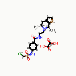 C[C@@H]1Cc2ccsc2[C@H](C)N1CCNC(=O)c1ccc(NS(=O)(=O)CCl)cc1.O=C(O)C(=O)O